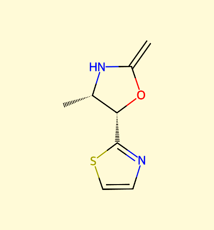 C=C1N[C@@H](C)[C@@H](c2nccs2)O1